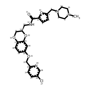 CN1CCN(Cc2ccc(C(=O)NC[C@@H]3COc4ccc(OCc5ccc(Cl)cn5)cc4O3)o2)CC1